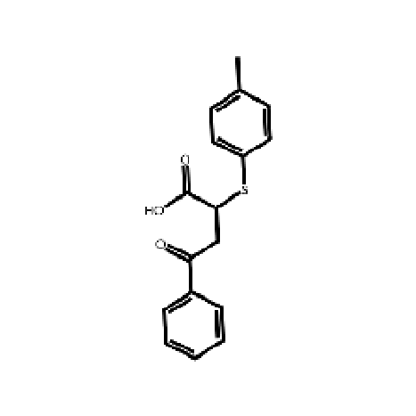 Cc1ccc(SC(CC(=O)c2ccccc2)C(=O)O)cc1